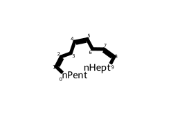 CCCCC/C=C\C/C=C\C/C=C\CCCCCCC